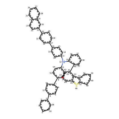 c1ccc(-c2ccc(-c3ccc(N(c4ccc(-c5ccc(-c6ccc7ccccc7c6)cc5)cc4)c4ccccc4-c4cccc5sc6ccccc6c45)cc3)cc2)cc1